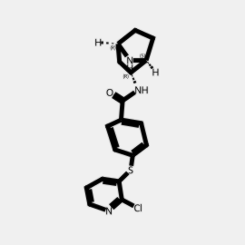 O=C(N[C@@H]1C[C@H]2CC[C@@H]1N2)c1ccc(Sc2cccnc2Cl)cc1